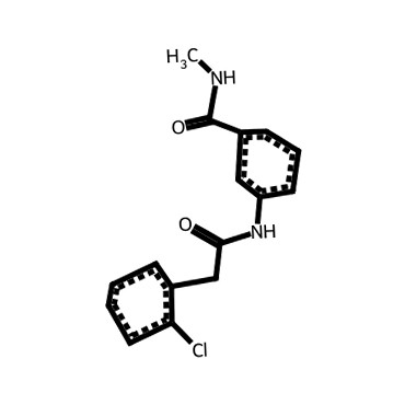 CNC(=O)c1cccc(NC(=O)Cc2ccccc2Cl)c1